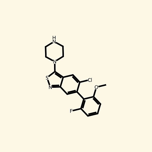 COc1cccc(F)c1-c1cc2nsc(N3CCNCC3)c2cc1Cl